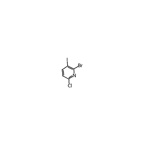 Clc1ccc(I)c(Br)n1